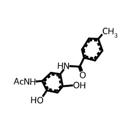 CC(=O)Nc1cc(NC(=O)c2ccc(C)cc2)c(O)cc1O